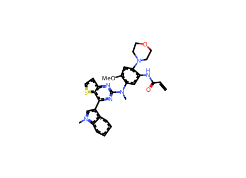 C=CC(=O)Nc1cc(N(C)c2nc(-c3cn(C)c4ccccc34)c3sccc3n2)c(OC)cc1N1CCOCC1